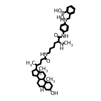 CNC(CCCCNC(=O)CCC(C)C1CCC2C3CC[C@H]4C[C@@H](O)CC[C@@]4(C)C3CC[C@@]12C)C(=O)Nc1ccc(NCc2ccccc2B(O)O)cc1